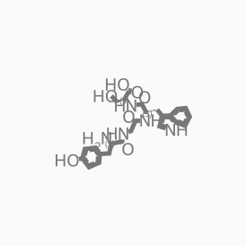 N[C@@H](Cc1ccc(O)cc1)C(=O)NCC(=O)N[C@@H](Cc1c[nH]c2ccccc12)C(=O)N[C@@H](CO)C(=O)O